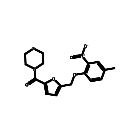 Cc1ccc(OCc2ccc(C(=O)N3CCSCC3)o2)c([N+](=O)[O-])c1